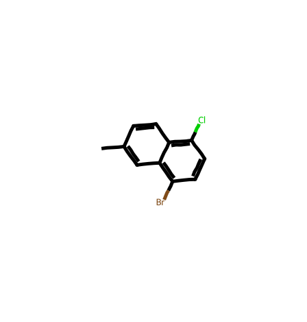 Cc1ccc2c(Cl)ccc(Br)c2c1